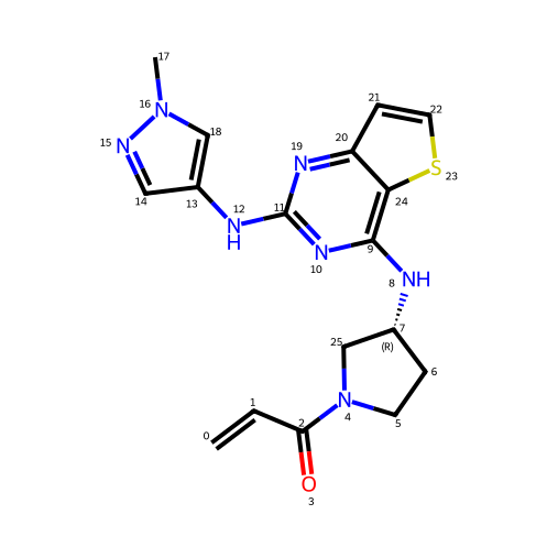 C=CC(=O)N1CC[C@@H](Nc2nc(Nc3cnn(C)c3)nc3ccsc23)C1